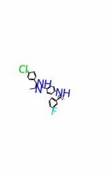 Cc1nc(-c2ccc(N[C@H](C)c3cccc(F)c3)cc2)[nH]c1-c1ccc(Cl)cc1